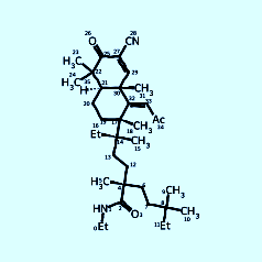 CCNC(=O)[C@@](C)(CCC(C)(C)CC)CC[C@](C)(CC)[C@]1(C)CC[C@H]2C(C)(C)C(=O)C(C#N)=C[C@]2(C)/C1=C/C(C)=O